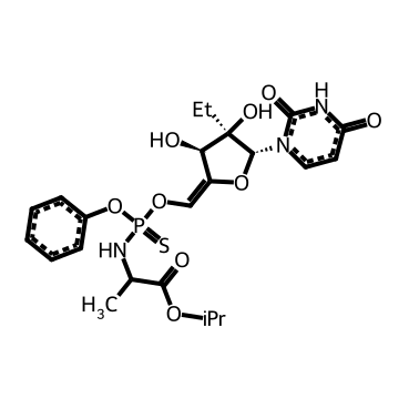 CC[C@@]1(O)[C@H](O)/C(=C\OP(=S)(NC(C)C(=O)OC(C)C)Oc2ccccc2)O[C@H]1n1ccc(=O)[nH]c1=O